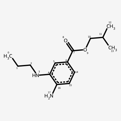 CCCNc1cc(C(=O)OCC(C)C)ccc1N